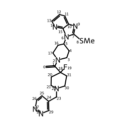 C=C(N1CCC(n2c(SC)nc3cccnc32)CC1)C1(F)CCN(Cc2ccnnc2)CC1